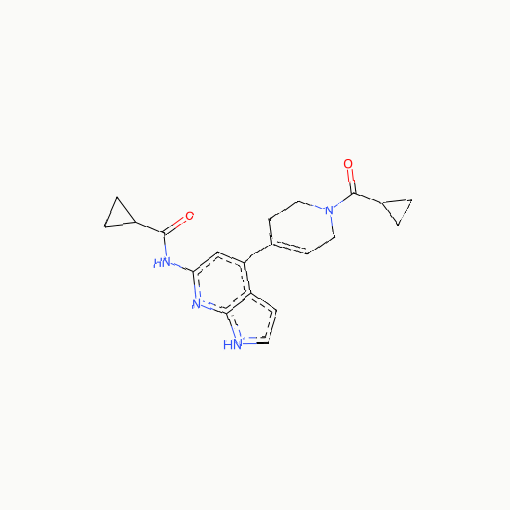 O=C(Nc1cc(C2=CCN(C(=O)C3CC3)CC2)c2cc[nH]c2n1)C1CC1